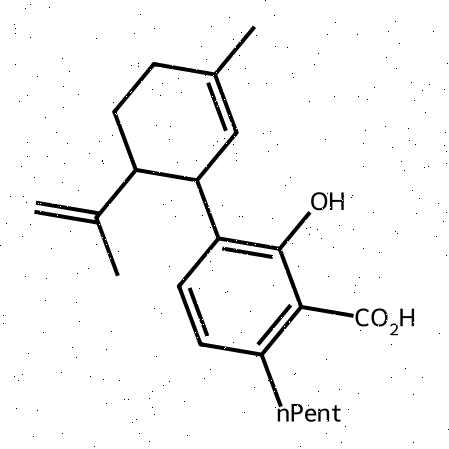 C=C(C)C1CCC(C)=CC1c1ccc(CCCCC)c(C(=O)O)c1O